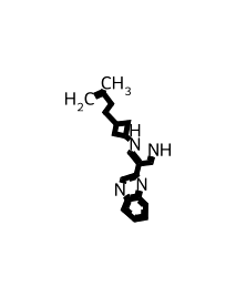 C=C(C)CCC1CC(N/C=C(\C=N)c2cnc3ccccc3n2)C1